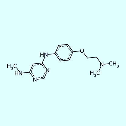 CNc1cc(Nc2ccc(OCCN(C)C)cc2)ncn1